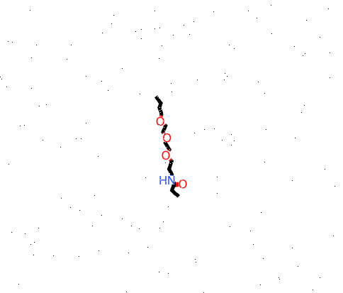 CCCCOCCOCCOCCCNC(=O)CC